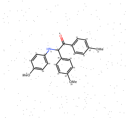 COc1ccc(NC(C(=O)c2ccc(OC)cc2)c2ccc(OC)cc2)cc1